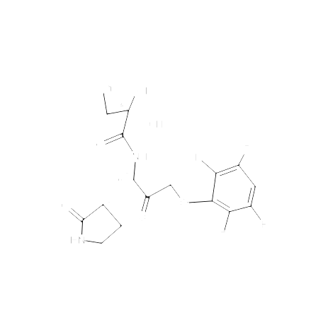 CC(C)C[C@@](C)(S)C(=O)N[C@@H](C[C@@H]1CCNC1=O)C(=O)COc1c(F)c(F)cc(F)c1F